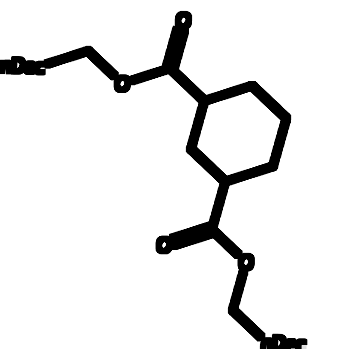 CCCCCCCCCCCOC(=O)C1CCCC(C(=O)OCCCCCCCCCCC)C1